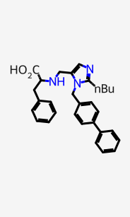 CCCCc1ncc(CNC(Cc2ccccc2)C(=O)O)n1Cc1ccc(-c2ccccc2)cc1